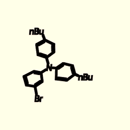 CCCCc1ccc(N(c2ccc(CCCC)cc2)c2cccc(Br)c2)cc1